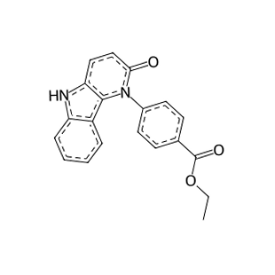 CCOC(=O)c1ccc(-n2c(=O)ccc3[nH]c4ccccc4c32)cc1